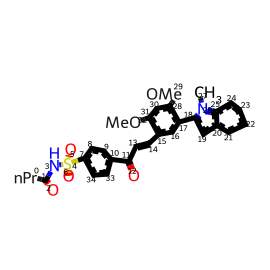 CCCC(=O)NS(=O)(=O)c1ccc(C(=O)/C=C/c2cc(-c3cc4ccccc4n3C)c(OC)cc2OC)cc1